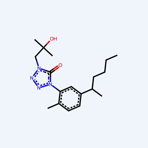 CCCCC(C)c1ccc(C)c(-n2nnn(CC(C)(C)O)c2=O)c1